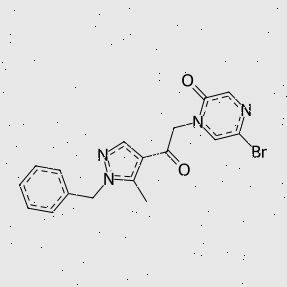 Cc1c(C(=O)Cn2cc(Br)ncc2=O)cnn1Cc1ccccc1